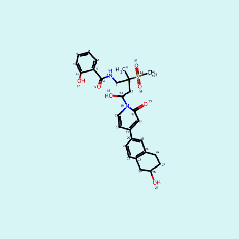 CC(CNC(=O)c1ccccc1O)(CC(O)n1ccc(-c2ccc3c(c2)CCC(O)C3)cc1=O)S(C)(=O)=O